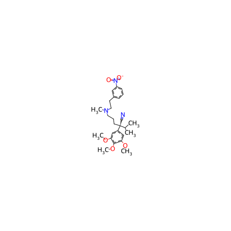 COc1cc([C@](C#N)(CCCN(C)CCc2cccc([N+](=O)[O-])c2)C(C)C)cc(OC)c1OC